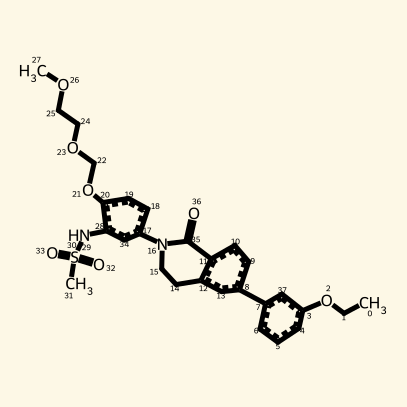 CCOc1cccc(-c2ccc3c(c2)CCN(c2ccc(OCOCCOC)c(NS(C)(=O)=O)c2)C3=O)c1